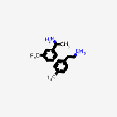 CC(N)c1cccc(C(F)(F)F)c1.NCCc1ccc(C(F)(F)F)cc1